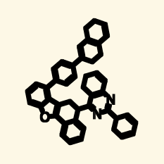 C1=CCC(c2nc3c(c(C4Cc5c(oc6cccc(-c7ccc(C8=CC9=C(C=CCC9)CC8)cc7)c56)-c5ccccc54)n2)CCC=C3)C=C1